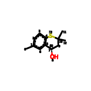 Cc1ccc2c(c1)[C@@H](O)CC(C)(C)S2